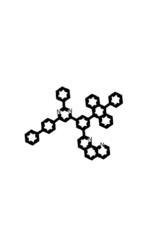 c1ccc(-c2ccc(-c3cc(-c4cc(-c5ccc6ccc7cccnc7c6n5)cc(-c5c6ccccc6c(-c6ccccc6)c6ccccc56)c4)nc(-c4ccccc4)n3)cc2)cc1